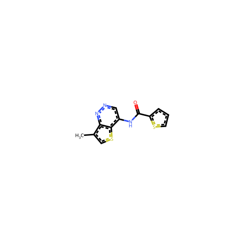 Cc1csc2c(NC(=O)c3cccs3)cnnc12